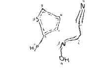 N#CC=NO.Pc1cccs1